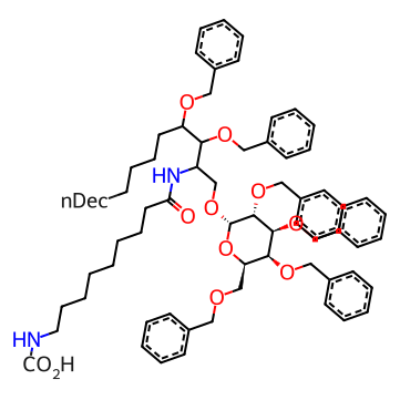 CCCCCCCCCCCCCCC(OCc1ccccc1)C(OCc1ccccc1)C(CO[C@H]1O[C@H](COCc2ccccc2)[C@H](OCc2ccccc2)[C@H](OCc2ccccc2)[C@H]1OCc1ccccc1)NC(=O)CCCCCCCCNC(=O)O